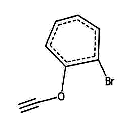 C#COc1ccccc1Br